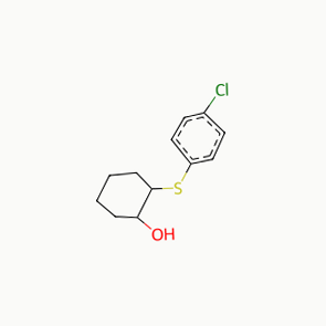 OC1CCCCC1Sc1ccc(Cl)cc1